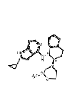 C[C@@H]1CN([C@@H]2CCc3ccccc3[C@H]2Nc2ncnc3[nH]c(C4CC4)cc23)CCO1